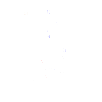 CC(c1ccc2c(n1)CCCN2C(=O)OC(C)(C)C)c1nc2ncc(Br)cc2[nH]1